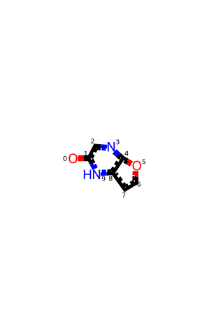 O=c1cnc2occc2[nH]1